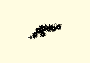 CCCCCCCCC1(CCCCCCCC)c2cc(-c3ccccc3)ccc2-c2ccc(-c3ccc4c(c3)N(c3ccccc3)c3cc(-c5ccc(O)cc5)ccc3O4)cc21